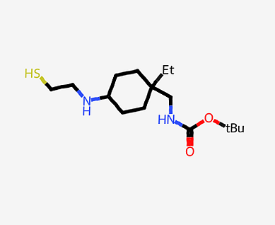 CCC1(CNC(=O)OC(C)(C)C)CCC(NCCS)CC1